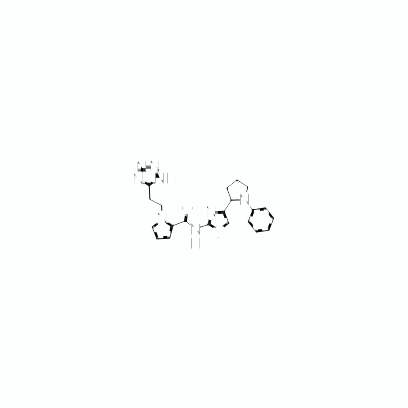 O=C(Nc1nc(C2CCCN2c2ccccc2)cs1)c1cccn1CCc1nnn[nH]1